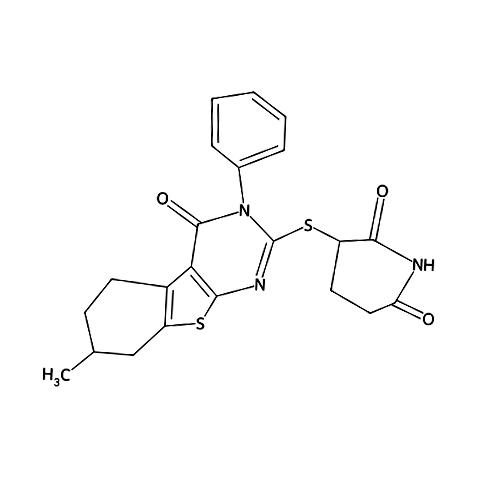 CC1CCc2c(sc3nc(SC4CCC(=O)NC4=O)n(-c4ccccc4)c(=O)c23)C1